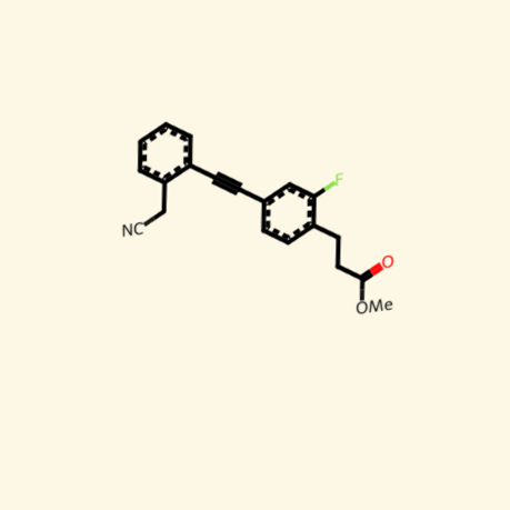 COC(=O)CCc1ccc(C#Cc2ccccc2CC#N)cc1F